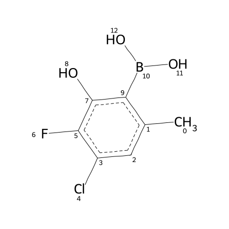 Cc1cc(Cl)c(F)c(O)c1B(O)O